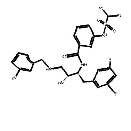 CCc1cccc(CNC[C@@H](O)[C@H](Cc2cc(F)cc(F)c2)NC(=O)c2cccc(NS(=O)(=O)C(CC)CC)c2)c1